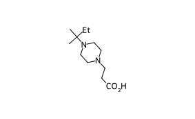 CCC(C)(C)N1CCN(CCC(=O)O)CC1